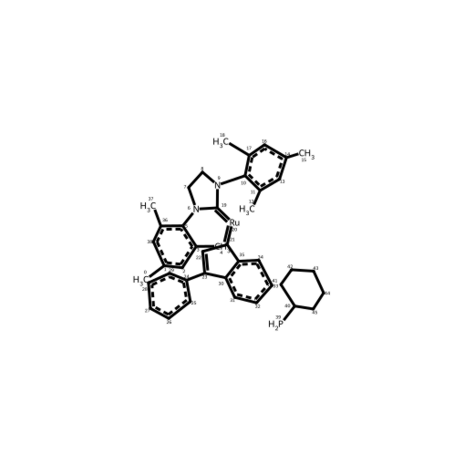 Cc1cc(C)c(N2CCN(c3c(C)cc(C)cc3C)[C]2=[Ru]=[C]2C=C(c3ccccc3)c3ccccc32)c(C)c1.PC1CCCCC1